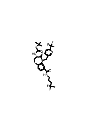 CC(C)(C)OC(=O)N[C@H]1CSc2ccc(C(=O)NCCCC(F)(F)F)cc2N(Cc2ccc(C(F)(F)F)nc2)C1=O